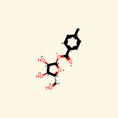 Cc1ccc(C(=O)O[C@H]2O[C@H](CO)[C@@H](O)[C@H]2O)cc1